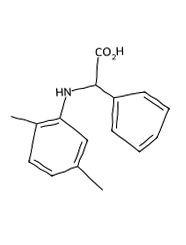 Cc1ccc(C)c(NC(C(=O)O)c2ccccc2)c1